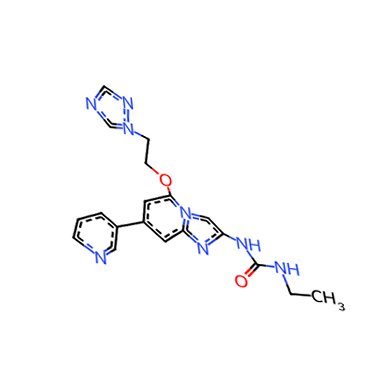 CCNC(=O)Nc1cn2c(OCCn3cncn3)cc(-c3cccnc3)cc2n1